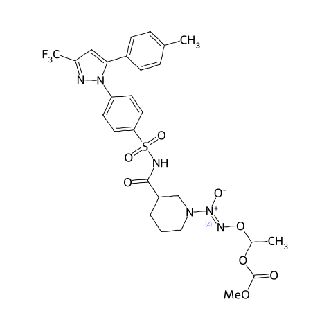 COC(=O)OC(C)O/N=[N+](\[O-])N1CCCC(C(=O)NS(=O)(=O)c2ccc(-n3nc(C(F)(F)F)cc3-c3ccc(C)cc3)cc2)C1